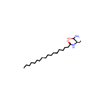 CCCCCCCCCCCCCCCCCC(=O)NC(CC)C(N)O